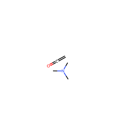 C=C=O.CN(C)C